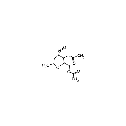 CC(=O)OCC1OC(C)CC(N=O)C1OC(C)=O